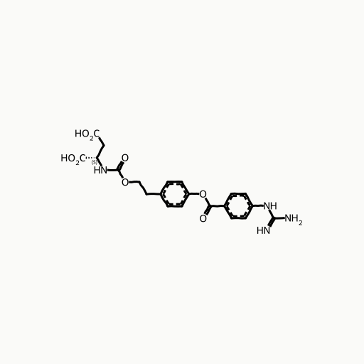 N=C(N)Nc1ccc(C(=O)Oc2ccc(CCOC(=O)N[C@@H](CC(=O)O)C(=O)O)cc2)cc1